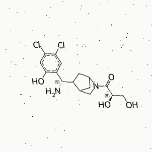 N[C@H](c1cc(Cl)c(Cl)cc1O)C1CC2CC1CN2C(=O)[C@H](O)CO